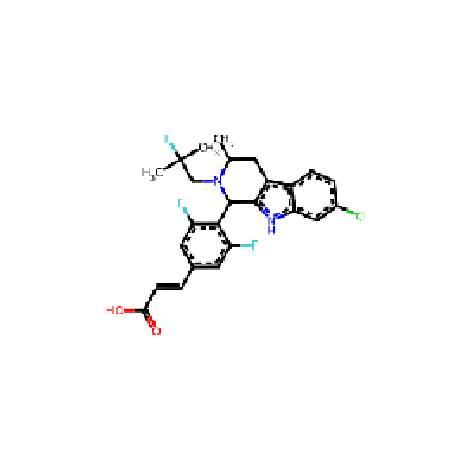 CC1Cc2c([nH]c3cc(Cl)ccc23)C(c2c(F)cc(/C=C/C(=O)O)cc2F)N1CC(C)(C)F